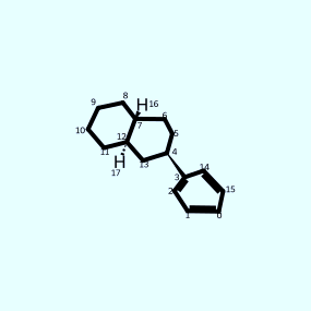 c1ccc([C@@H]2CC[C@H]3CCCC[C@@H]3C2)cc1